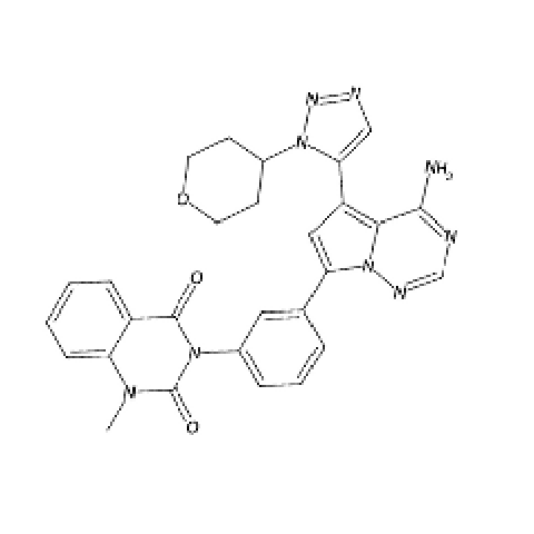 Cn1c(=O)n(-c2cccc(-c3cc(-c4cnnn4C4CCOCC4)c4c(N)ncnn34)c2)c(=O)c2ccccc21